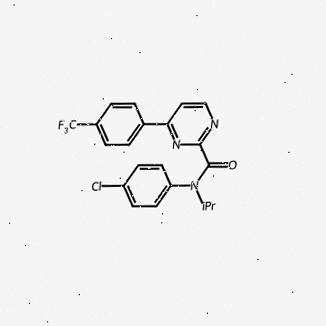 CC(C)N(C(=O)c1nccc(-c2ccc(C(F)(F)F)cc2)n1)c1ccc(Cl)cc1